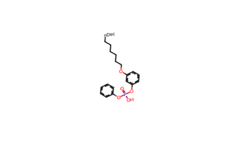 CCCCCCCCCCCCCCCCOc1cccc(OP(=O)(O)Oc2[c]cccc2)c1